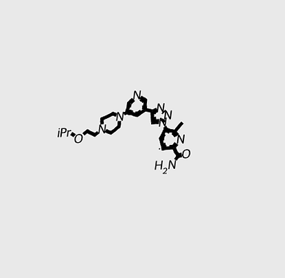 Cc1nc(C(N)=O)[c]cc1-n1cc(-c2cncc(N3CCN(CCOC(C)C)CC3)c2)nn1